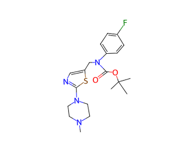 CN1CCN(c2ncc(CN(C(=O)OC(C)(C)C)c3ccc(F)cc3)s2)CC1